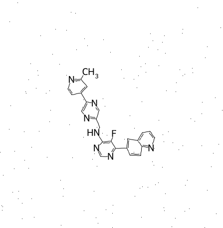 Cc1cc(-c2cnc(CNc3ncnc(-c4ccc5ncccc5c4)c3F)cn2)ccn1